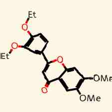 CCOc1ccc(-c2cc(=O)c3cc(OC)c(OC)cc3o2)cc1OCC